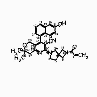 C=CC(=O)N1CC2(CCN(c3nc4c(c(-c5cccc6cc(O)ccc56)c3C#N)COC(C)(C)C4)C2)C1